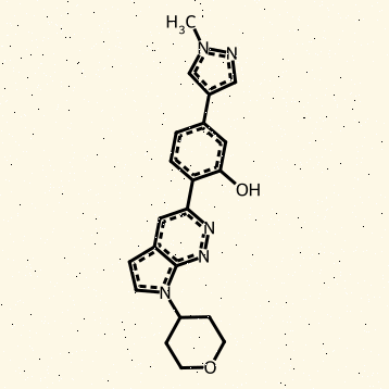 Cn1cc(-c2ccc(-c3cc4ccn(C5CCOCC5)c4nn3)c(O)c2)cn1